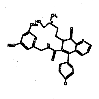 COc1cc(CNC(=O)c2c(-c3ccc(Cl)cc3)c3cccnc3c(=O)n2CC[C@@H](C)CO)cc(OC)c1